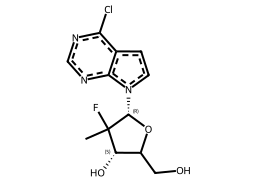 CC1(F)[C@@H](O)C(CO)O[C@H]1n1ccc2c(Cl)ncnc21